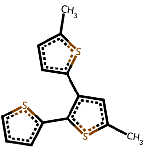 Cc1ccc(-c2cc(C)sc2-c2cccs2)s1